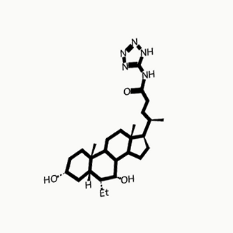 CC[C@H]1[C@@H](O)C2C3CC[C@H]([C@H](C)CCC(=O)Nc4nnn[nH]4)[C@@]3(C)CCC2[C@@]2(C)CC[C@@H](O)C[C@@H]12